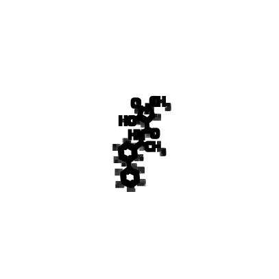 C[C@H](NC(=O)C1=C(O)C(=O)N(C)C1)c1cccc(-c2ccccc2)c1